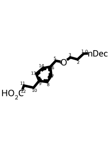 CCCCCCCCCCCCCOCc1ccc(CCC(=O)O)cc1